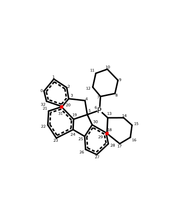 c1ccc(CC2(P(C3CCCCC3)C3CCCCC3)c3ccccc3-c3ccccc32)cc1